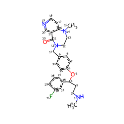 CNCCC(Oc1ccc(CN2CCN(C)c3ccncc3C2=O)cc1)c1cccc(F)c1